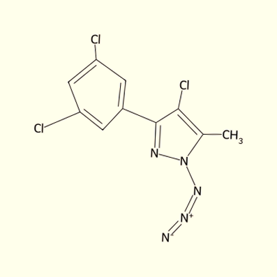 Cc1c(Cl)c(-c2cc(Cl)cc(Cl)c2)nn1N=[N+]=[N-]